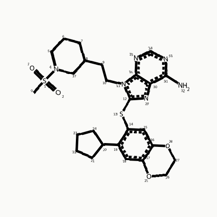 CS(=O)(=O)N1CCCC(CCn2c(Sc3cc4c(cc3C3CCCC3)OCCO4)nc3c(N)ncnc32)C1